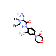 CCN(CC(C)C)[C@H](CN)C(=O)Nc1ccc(N2CCOCC2=O)cc1C(F)(F)F